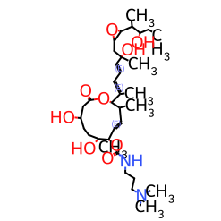 CCC(O)C(C)C1OC1CC(C)(O)/C=C/C=C(\C)C1OC(=O)CC(O)CCC(C)(O)C(OC(=O)NCCCN(C)C)/C=C/C1C